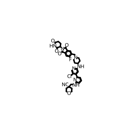 N#CC1(CNc2cccc(-c3cc(NC4CCN(Cc5cc6c(cc5F)C(=O)N(C5CCC(=O)NC5=O)C6=O)CC4)ncc3Cl)n2)CCOCC1